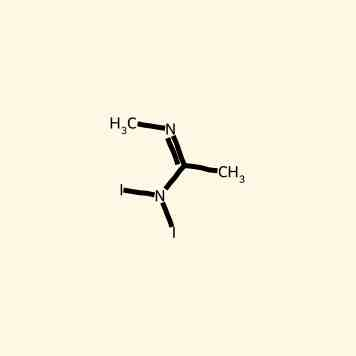 C/N=C(/C)N(I)I